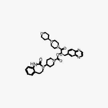 O=C(O[C@H](Cc1ccc2nccnc2c1)C(=O)N1CCN(C2CCOCC2)CC1)N1CCC(N2CCc3ccccc3NC2=O)CC1